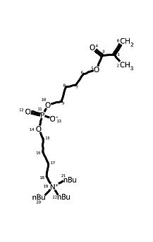 C=C(C)C(=O)OCCCCOP(=O)([O-])OCCCC[N+](CCCC)(CCCC)CCCC